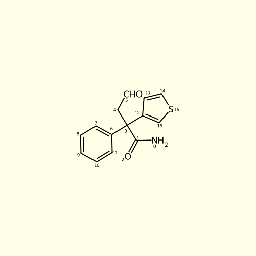 NC(=O)C(CC=O)(c1ccccc1)c1ccsc1